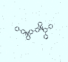 c1ccc(-c2cc(-c3ccccc3)cc(-n3c4ccccc4c4cc(-c5ccc6c(c5)c5ccccc5n6-c5ccc(-c6ccccc6)cc5)ccc43)c2)cc#1